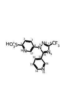 O=S(=O)(O)c1ccc(-n2nc(C(F)(F)F)nc2-c2cccnc2)cn1